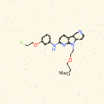 COCCOCCn1c2ccncc2c2ccc(Nc3cccc(OCCF)c3)nc21